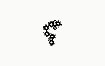 O=c1c2ccccc2oc2ccc(-c3cccc(-c4cccc(-c5cccc6c5oc5ccccc56)c4)c3)cc12